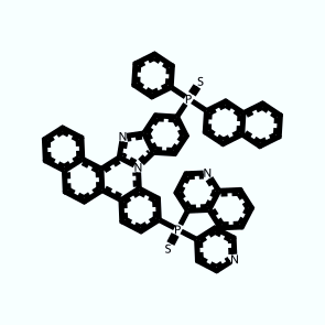 S=P(c1ccccc1)(c1ccc2ccccc2c1)c1ccc2c(c1)nc1c3c4ccccc4ccc3c3ccc(P(=S)(c4ccncc4)c4ccnc5ccccc45)cc3n21